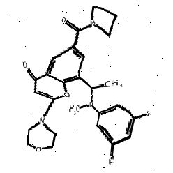 CC(c1cc(C(=O)N2CCC2)cc2c(=O)cc(N3CCOCC3)oc12)N(C)c1cc(F)cc(F)c1